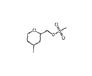 CC1CCOC(COS(C)(=O)=O)C1